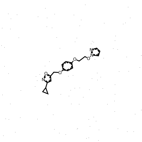 c1cnn(OCCOc2ccc(OCc3cc(C4CC4)no3)cc2)c1